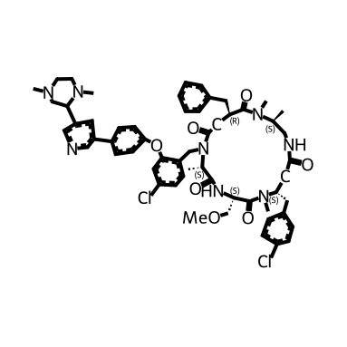 COC[C@@H]1NC(=O)[C@H](C)N(Cc2ccc(Cl)cc2Oc2ccc(-c3cncc(C4CN(C)CCN4C)c3)cc2)C(=O)C[C@@H](Cc2ccccc2)C(=O)N(C)[C@@H](C)CNC(=O)C[C@H](Cc2ccc(Cl)cc2)N(C)C1=O